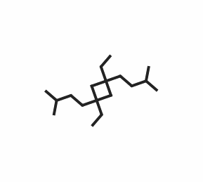 CCC1(CCC(C)C)CC(CC)(CCC(C)C)C1